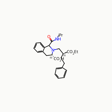 CCOC(=O)[C@@H](CCc1ccccc1)CN1C(C(=O)NC(C)C)c2ccccc2C[C@H]1C(=O)O